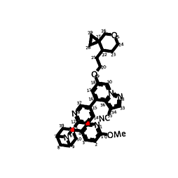 COc1ccc(CN2C3CC2CN(c2ccc(-c4cc(OCCC5CCOCC56CC6)cn5ncc(C#N)c45)cn2)C3)cn1